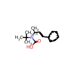 C[C@@H](C=Cc1ccccc1)N(C(=O)O)C(C)(C)C